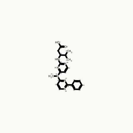 CC(C)C(CC(=O)O)Nc1nccc(N(C)c2ccnc(-c3ccccc3)n2)n1